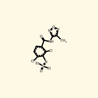 CCS(=O)(CC)=Nc1c(Cl)ccc(C(=O)Nc2nonc2C)c1Cl